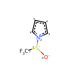 [O-][S+](n1cccc1)C(F)(F)F